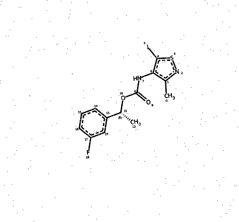 Cc1nsc(I)c1NC(=O)O[C@H](C)c1cccc(F)c1